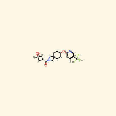 Cc1cc(OC2CCC3(CC2)CN(C(=O)[C@H]2C[C@@](C)(O)C2)C3)ncc1C(F)(F)F